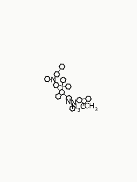 CC1(C)c2ccccc2-c2ccc(N(c3ccccc3)c3ccc(-c4cc5c(c6ccccc46)-c4ccc(N(c6ccccc6)c6ccc(-c7ccccc7)cc6)cc4C5(c4ccccc4)c4ccccc4)cn3)cc21